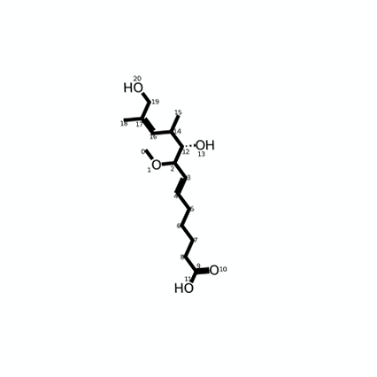 COC(/C=C/CCCCC(=O)O)[C@@H](O)C(C)/C=C(/C)CO